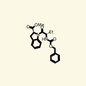 CC[C@H](NC(=O)OCc1ccccc1)C(=O)N1c2ccccc2C[C@H]1C(=O)OC